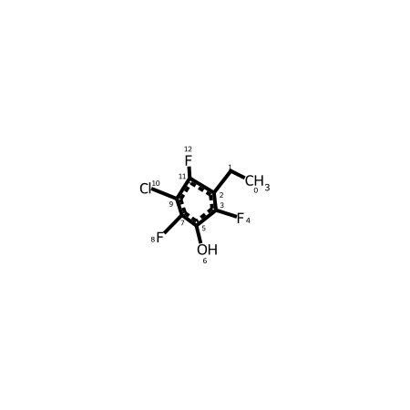 CCc1c(F)c(O)c(F)c(Cl)c1F